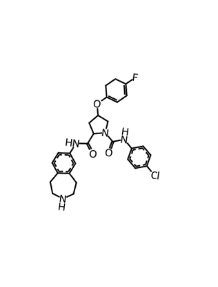 O=C(Nc1ccc2c(c1)CCNCC2)C1CC(OC2=CC=C(F)CC2)CN1C(=O)Nc1ccc(Cl)cc1